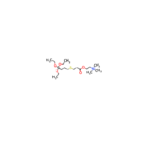 CCO[Si](CCCSCCC(=O)OCC[N+](C)(C)C)(OCC)OCC